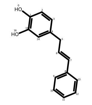 Oc1ccc(CC=Cc2ccccc2)cc1O